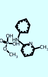 COP(=O)(O)O.Cc1cccc(Nc2ccccc2)n1